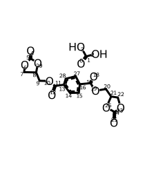 O=C(O)O.O=C1OCC(COC(=O)c2ccc(C(=O)OCC3COC(=O)O3)cc2)O1